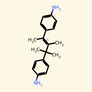 C/C(=C(/C)C(C)(C)c1ccc(N)cc1)c1ccc(N)cc1